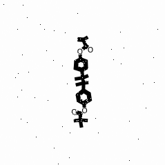 C=C(C)C(=O)Oc1ccc(C(C)(C)C(C)(C)c2ccc(OC(=O)C(C)(C)C)cc2)cc1